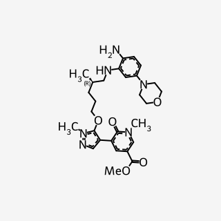 COC(=O)c1cc(-c2cnn(C)c2OCCC[C@@H](C)CNc2cc(N3CCOCC3)ccc2N)c(=O)n(C)c1